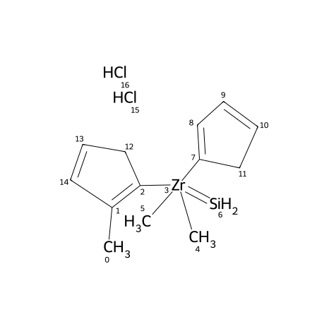 CC1=[C]([Zr]([CH3])([CH3])(=[SiH2])[C]2=CC=CC2)CC=C1.Cl.Cl